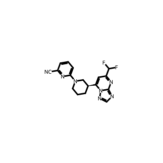 N#Cc1cccc(N2CCC[C@H](c3cc(C(F)F)nc4ncnn34)C2)n1